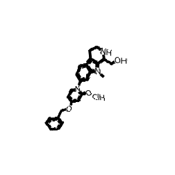 Cl.Cn1c2c(c3ccc(-n4ccc(OCc5ccccc5)cc4=O)cc31)CCNC2CO